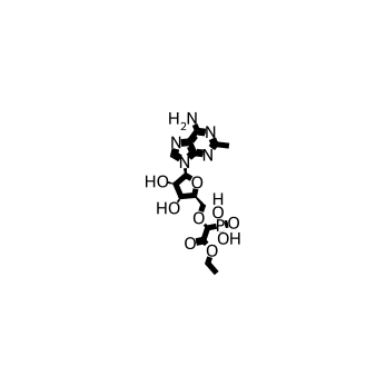 CCOC(=O)[C@@H](OC[C@@H]1O[C@H](n2cnc3c(N)nc(C)nc32)[C@@H](O)[C@H]1O)P(=O)(O)O